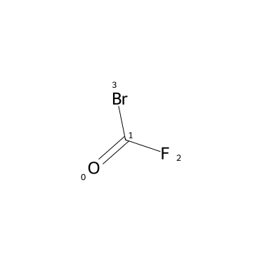 O=C(F)Br